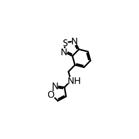 c1cc(CNc2ccon2)c2nsnc2c1